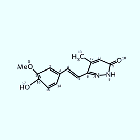 COc1cc(C=Cc2n[nH]c(=O)cc2C)ccc1O